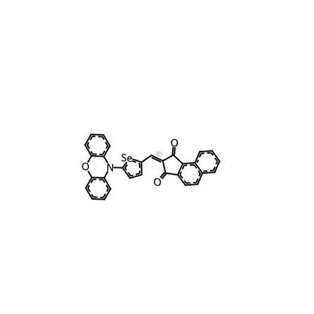 O=C1/C(=C\c2ccc(N3c4ccccc4Oc4ccccc43)[se]2)C(=O)c2c1ccc1ccccc21